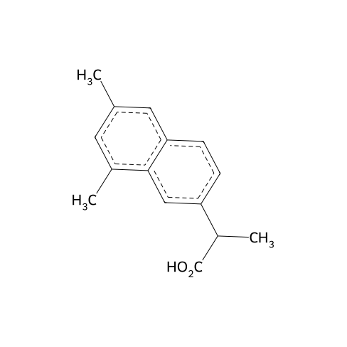 Cc1cc(C)c2cc(C(C)C(=O)O)ccc2c1